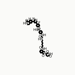 Nc1ncc(-c2ccc(SN(O)c3ccc(NC(=O)CNCCCCCC(=O)Nc4cccc5c4CN(C4CCC(=O)NC4=O)C5=O)cc3)cc2F)cc1-c1ccc2c(c1)CCNC2=O